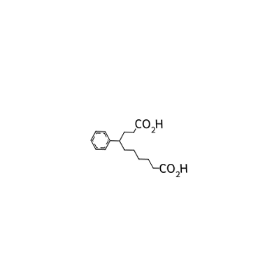 O=C(O)CCCCCC(CCC(=O)O)c1ccccc1